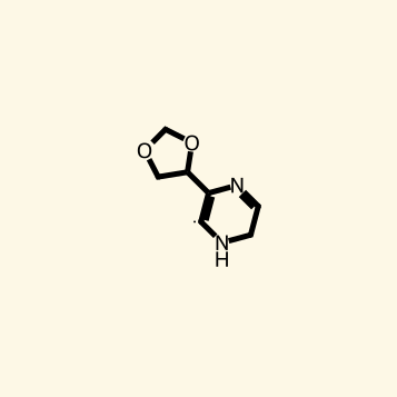 [C]1=C(C2COCO2)N=CCN1